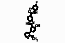 COc1ncccc1-c1ccc(O)c(-c2nc3cc(C(=O)Nc4ccc(F)cc4F)ccc3[nH]2)c1